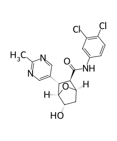 Cc1ncc([C@H]2[C@H]3O[C@H](C[C@@H]3O)[C@@H]2C(=O)Nc2ccc(Cl)c(Cl)c2)cn1